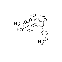 COc1ccc(-c2cc(=O)c3c(O)c(O)c(O[C@@H]4O[C@@H](C)[C@H](O)[C@@H](O)[C@H]4O)cc3o2)cc1